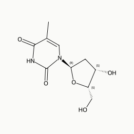 Cc1cn([C@H]2C[C@H](O)[C@H](CO)O2)c(=O)[nH]c1=O